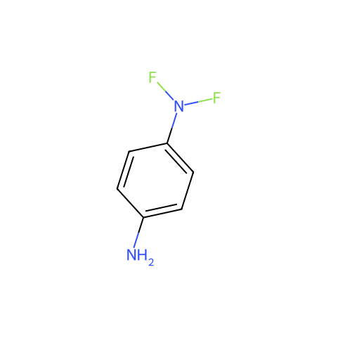 Nc1ccc(N(F)F)cc1